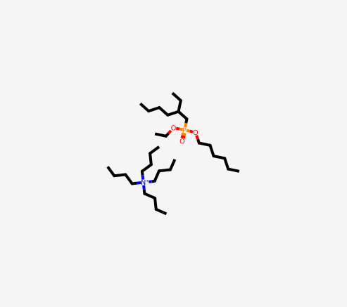 CCCCCCOP(=O)(CC(CC)CCCC)OCC.CCCC[N+](CCCC)(CCCC)CCCC